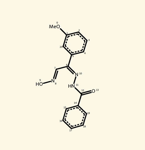 COc1cccc(C(/C=N/O)=N/NC(=O)c2ccccc2)c1